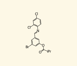 CC(C)C(=O)Oc1cc(Br)cc(C=Nc2ccc(Cl)cc2Cl)c1